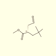 COC(=O)[C@H](CC=O)CC(C)(C)C